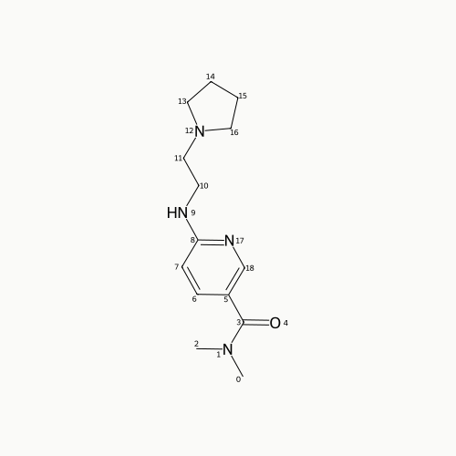 CN(C)C(=O)c1ccc(NCCN2CCCC2)nc1